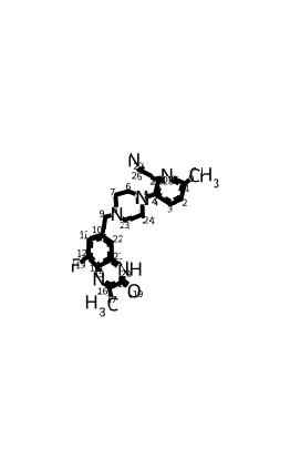 Cc1ccc(N2CCN(Cc3cc(F)c4nc(C)c(=O)[nH]c4c3)CC2)c(C#N)n1